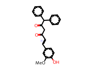 COc1cc(/C=C/C(=O)CC(=O)C(c2ccccc2)c2ccccc2)ccc1O